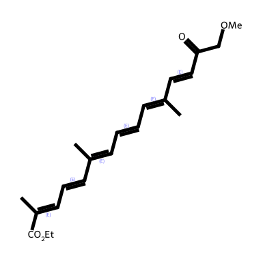 CCOC(=O)/C(C)=C/C=C/C(C)=C/C=C/C=C(C)/C=C/C(=O)COC